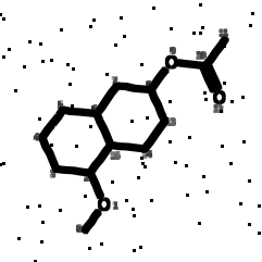 COC1CCCC2CC(OC(C)=O)CCC21